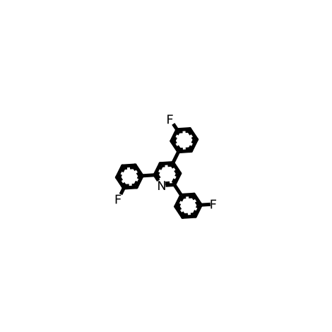 Fc1cccc(-c2cc(-c3cccc(F)c3)nc(-c3cccc(F)c3)c2)c1